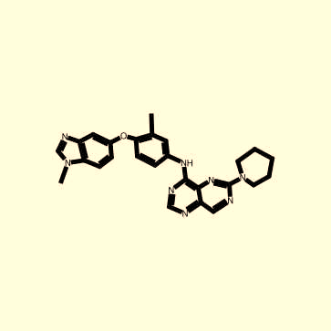 Cc1cc(Nc2ncnc3cnc(N4CCCCC4)nc23)ccc1Oc1ccc2c(c1)ncn2C